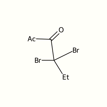 CCC(Br)(Br)C(=O)C(C)=O